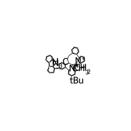 C=C1[n+]2ccccc2-c2ccccc2CCC2(C)c3cc4c(cc3-c3cc(C(C)(C)C)cc[n+]3C12C)c1cccc2c3ccccc3n4c21